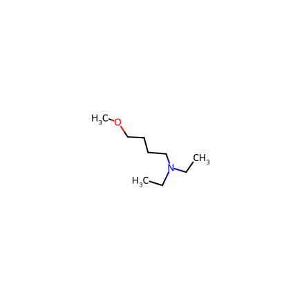 CCN(CC)CCCCOC